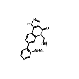 CC(=O)Nc1cnccc1-c1ccc2c3[nH]ncc3c(=O)n(CC(F)(F)F)c2c1.Cl